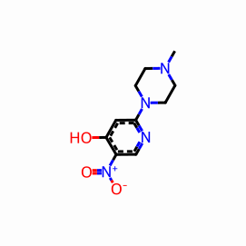 CN1CCN(c2cc(O)c([N+](=O)[O-])cn2)CC1